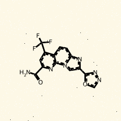 NC(=O)c1cc(C(F)(F)F)c2ccc3nc(-c4nnco4)cn3c2n1